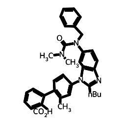 CCCCc1nc2ccc(N(Cc3ccccc3)C(=O)N(C)C)cc2n1-c1ccc(-c2ccccc2C(=O)O)c(C)c1